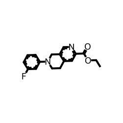 CCOC(=O)c1cc2c(cn1)CN(c1cccc(F)c1)CC2